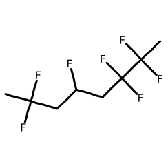 CC(F)(F)CC(F)CC(F)(F)C(C)(F)F